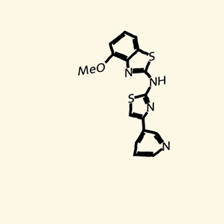 COc1cccc2sc(Nc3nc(-c4cccnc4)cs3)nc12